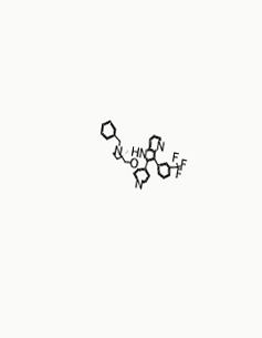 C[C@]1(COc2cnccc2-c2[nH]c3cccnc3c2-c2cccc(C(F)(F)F)c2)CCN1Cc1ccccc1